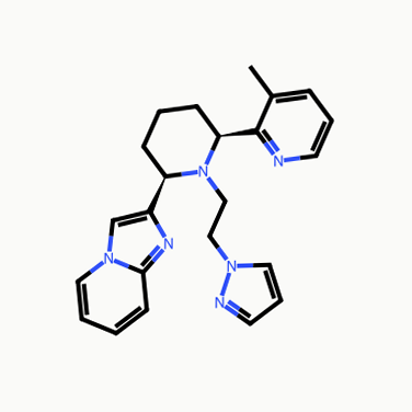 Cc1cccnc1[C@@H]1CCC[C@H](c2cn3ccccc3n2)N1CCn1cccn1